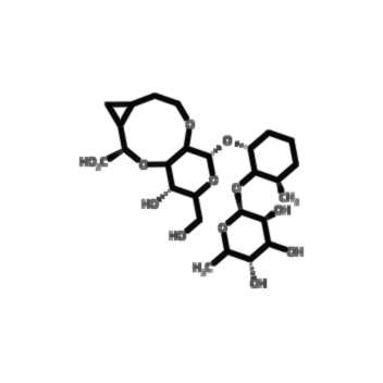 CC1O[C@@H](OC2[C@H](C)CCC[C@H]2O[C@@H]2OC(CO)[C@H](O)C3O[C@@H](C(=O)O)C4CC4CCOC32)[C@@H](O)C(O)[C@@H]1O